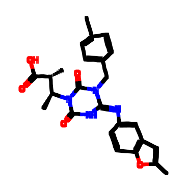 Cc1ccc(Cn2c(=O)n([C@@H](C)[C@@H](C)C(=O)O)c(=O)[nH]/c2=N\c2ccc3oc(C)cc3c2)cc1